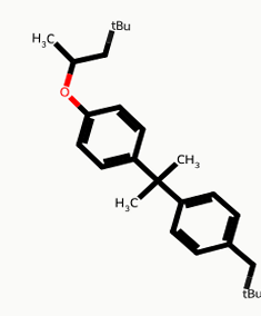 CC(CC(C)(C)C)Oc1ccc(C(C)(C)c2ccc(CC(C)(C)C)cc2)cc1